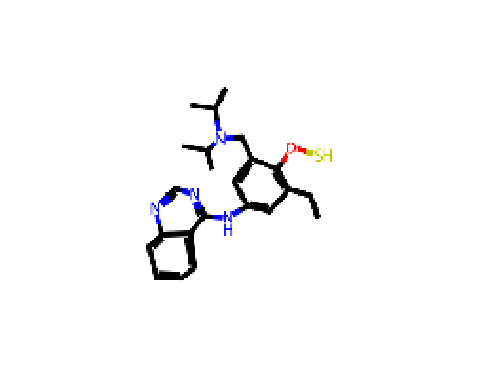 CCc1cc(Nc2ncnc3ccccc23)cc(CN(C(C)C)C(C)C)c1OS